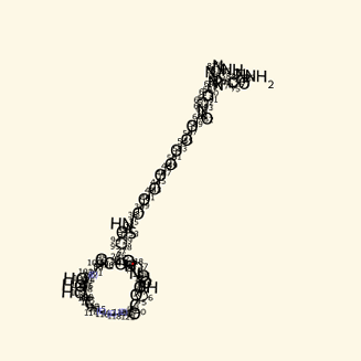 CO[C@H]1CC2CCC[C@@](O)(O2)C(=O)C(=O)N2CCCC[C@H]2C(=O)O[C@H](CC[C@H]2CC[C@H](OC(=S)NCCOCCOCCOCCOCCOCCOCCOCCOCCC(=O)N3CCc4cc(Cn5nc(-c6ccc7oc(N)nc7c6)c6c(N)ncnc65)ccc4C3)CC2)CC(=O)[C@H](C)/C=C(\C)[C@@H](O)[C@@H](O)C(O)[C@H](C)C[C@H](C)/C=C/C=C/C=C/1C